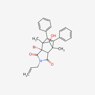 C=CCN1C(=O)C2C3(C)C(c4ccccc4)=C(c4ccccc4)C(C)(C3O)C2(Br)C1=O